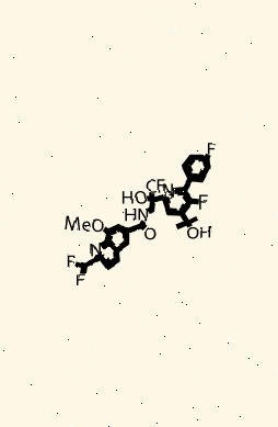 COc1cc(C(=O)NCC(O)(c2cc(C(C)(C)O)c(F)c(-c3ccc(F)cc3)n2)C(F)(F)F)cc2ccc(C(F)F)nc12